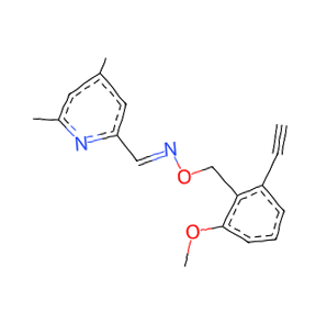 C#Cc1cccc(OC)c1CON=Cc1cc(C)cc(C)n1